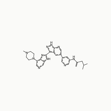 C=C(CC(C)C)Nc1cncc(-c2cnc3[nH]nc(-c4nc5c(N6CCN(C)CC6)cncc5[nH]4)c3c2)c1